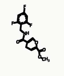 COC(=O)C1=CCC(C(=O)NCc2c(F)cc(F)cc2F)=CO1